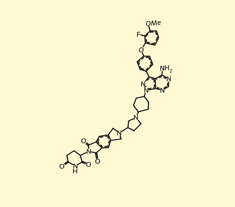 COc1cccc(Oc2ccc(-c3nn(C4CCC(N5CCC(N6Cc7cc8c(cc7C6)C(=O)N(C6CCC(=O)NC6=O)C8=O)C5)CC4)c4ncnc(N)c34)cc2)c1F